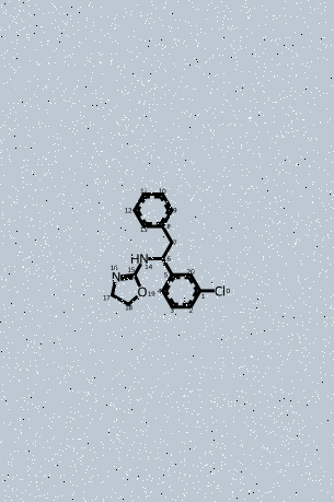 Clc1cccc(C(Cc2ccccc2)NC2=NCCO2)c1